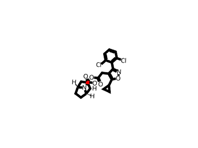 O=C(Cc1c(-c2c(Cl)cccc2Cl)noc1C1CC1)O[C@H]1C[C@H]2CC[C@@H](C1)N2C(=O)O